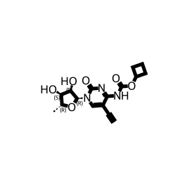 C#Cc1cn([C@@H]2O[C@H](C)[C@@H](O)[C@H]2O)c(=O)nc1NC(=O)OC1CCC1